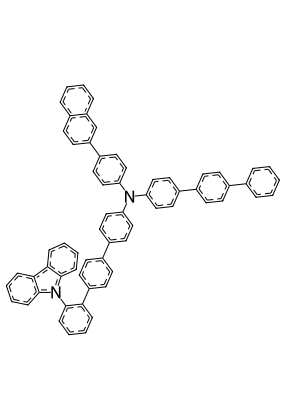 c1ccc(-c2ccc(-c3ccc(N(c4ccc(-c5ccc(-c6ccccc6-n6c7ccccc7c7ccccc76)cc5)cc4)c4ccc(-c5ccc6ccccc6c5)cc4)cc3)cc2)cc1